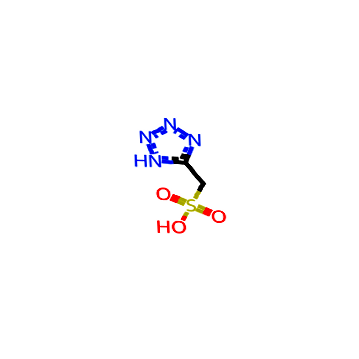 O=S(=O)(O)Cc1nnn[nH]1